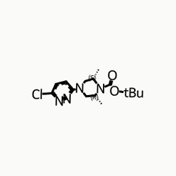 C[C@@H]1CN(c2ccc(Cl)nn2)C[C@H](C)N1C(=O)OC(C)(C)C